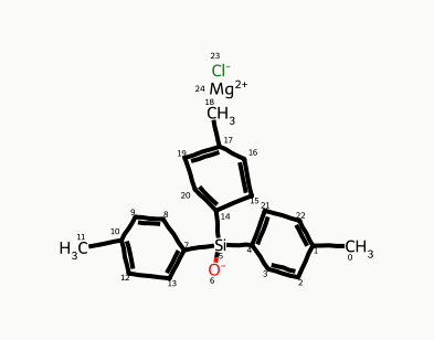 Cc1ccc([Si]([O-])(c2ccc(C)cc2)c2ccc(C)cc2)cc1.[Cl-].[Mg+2]